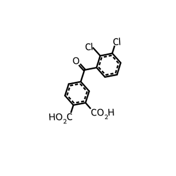 O=C(O)c1ccc(C(=O)c2cccc(Cl)c2Cl)cc1C(=O)O